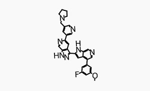 COc1cc(F)cc(-c2cncc3[nH]c(-c4n[nH]c5cnc(-c6cncc(CN7CCCC7)c6)cc45)cc23)c1